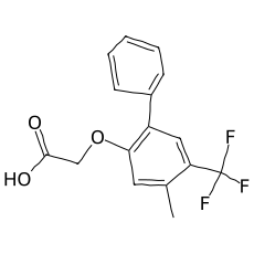 Cc1cc(OCC(=O)O)c(-c2ccccc2)cc1C(F)(F)F